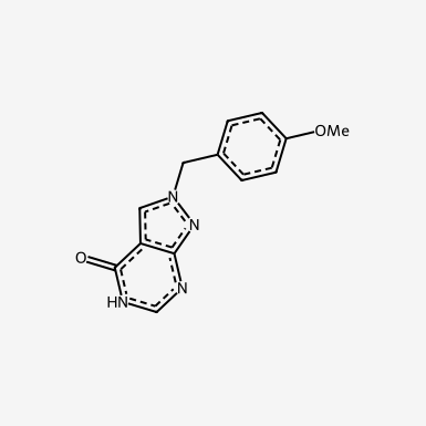 COc1ccc(Cn2cc3c(=O)[nH]cnc3n2)cc1